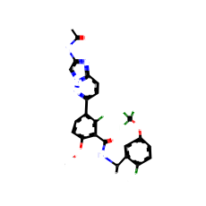 COc1ccc(-c2ccc3nc(NC(C)=O)cn3n2)c(F)c1C(=O)NC(C)c1cc(OC(F)(F)F)ccc1F